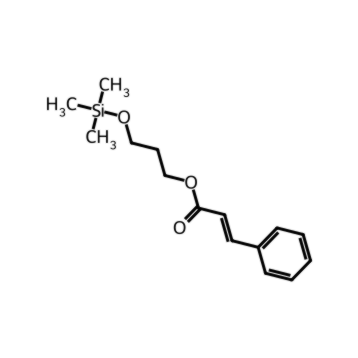 C[Si](C)(C)OCCCOC(=O)C=Cc1ccccc1